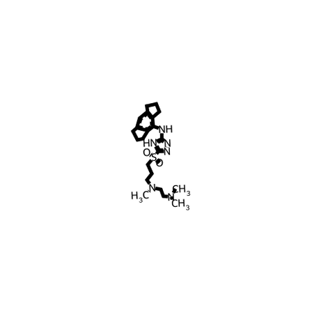 CN(C)CCN(C)CCCS(=O)(=O)c1nnc(Nc2c3c(cc4c2CCC4)CCC3)[nH]1